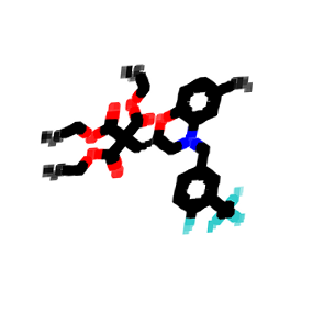 CCOC(=O)C(C[C@H]1CN(Cc2ccc(F)c(C(F)(F)F)c2)c2cc(C)ccc2O1)(C(=O)OCC)C(=O)OCC